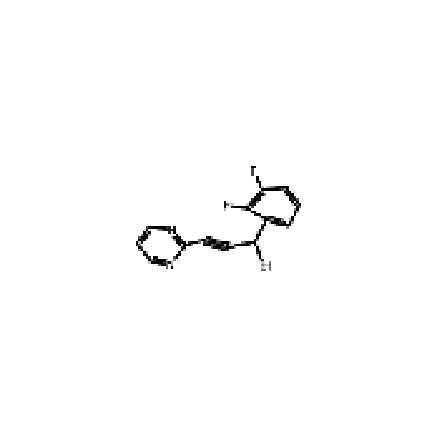 CCC(C#Cc1ncccn1)c1cccc(F)c1F